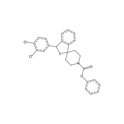 O=C(Oc1ccccc1)N1CCC2(CC1)SC(c1ccc(Cl)c(Cl)c1)c1ccccc12